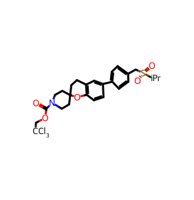 CC(C)S(=O)(=O)Cc1ccc(-c2ccc3c(c2)CCC2(CCN(C(=O)OCC(Cl)(Cl)Cl)CC2)O3)cc1